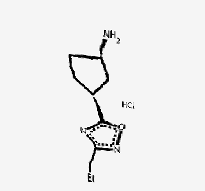 CCc1noc([C@H]2CC[C@@H](N)C2)n1.Cl